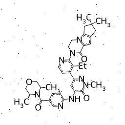 CCc1c(-c2cc(Nc3ccc(C(=O)N4[C@H](C)COC[C@@H]4C)cn3)c(=O)n(C)n2)ccnc1N1CCn2c(cc3c2CC(C)(C)C3)C1=O